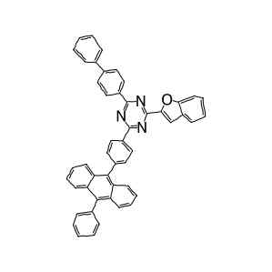 c1ccc(-c2ccc(-c3nc(-c4ccc(-c5c6ccccc6c(-c6ccccc6)c6ccccc56)cc4)nc(-c4cc5ccccc5o4)n3)cc2)cc1